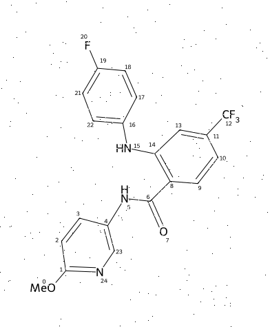 COc1ccc(NC(=O)c2ccc(C(F)(F)F)cc2Nc2ccc(F)cc2)cn1